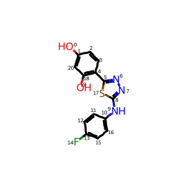 Oc1ccc(-c2nnc(Nc3ccc(F)cc3)s2)c(O)c1